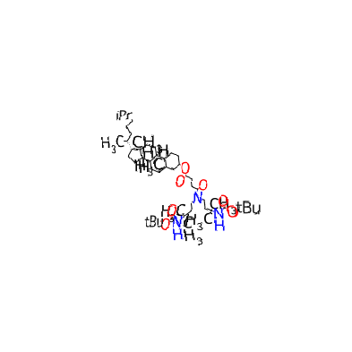 CC(C)CCCC(C)[C@H]1CC[C@H]2[C@@H]3CC=C4C[C@@H](OC(=O)CCC(=O)N(CCC(C)(C)NC(=O)OC(C)(C)C)CCC(C)(C)NC(=O)OC(C)(C)C)CC[C@]4(C)[C@H]3CC[C@]12C